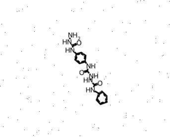 NNC(=O)Nc1ccc(NC(=O)NNC(=O)Nc2ccccc2)cc1